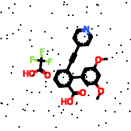 COc1cc(OC)cc(-c2c(C#Cc3ccncc3)cccc2C(=O)O)c1.O=C(O)C(F)(F)F